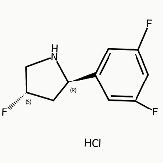 Cl.Fc1cc(F)cc([C@H]2C[C@H](F)CN2)c1